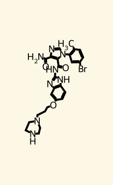 Cc1ccc(Br)cc1-n1cnc(C(N)=O)c1C(=O)Nc1nc2cc(OCCCN3CCNCC3)ccc2[nH]1